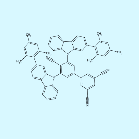 Cc1cc(C)c(-c2ccc3c4ccccc4n(-c4cc(-c5cc(C#N)cc(C#N)c5)cc(-n5c6ccccc6c6ccc(-c7c(C)cc(C)cc7C)cc65)c4C#N)c3c2)c(C)c1